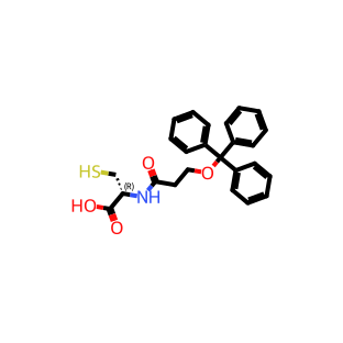 O=C(CCOC(c1ccccc1)(c1ccccc1)c1ccccc1)N[C@@H](CS)C(=O)O